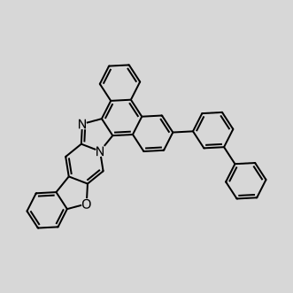 c1ccc(-c2cccc(-c3ccc4c(c3)c3ccccc3c3nc5cc6c(cn5c43)oc3ccccc36)c2)cc1